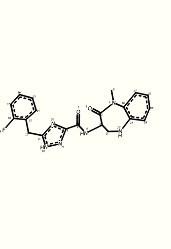 CN1C(=O)C(NC(=O)c2n[nH]c(Cc3ccccc3F)n2)CNc2ccccc21